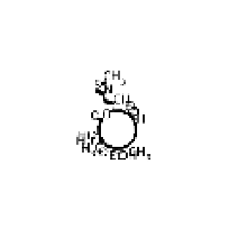 CC[C@H]1C(=O)C(C)(C)[C@@H](O)CC(=O)O[C@H](C(C)=Cc2csc(C)n2)C[C@@]2(CC)O[C@H]2CCC[C@H](C)[C@@H]1O